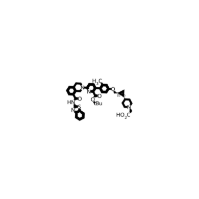 Cc1cc(OC[C@H]2C[C@@H]2C2CCN(CC(=O)O)CC2)ccc1-c1ccc(N2CCc3cccc(C(=O)Nc4nc5ccccc5s4)c3C2)nc1C(=O)OC(C)(C)C